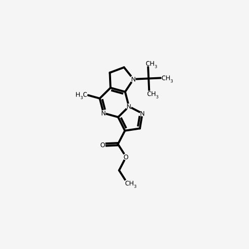 CCOC(=O)c1cnn2c3c(c(C)nc12)CCN3C(C)(C)C